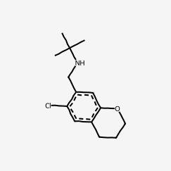 CC(C)(C)NCc1cc2c(cc1Cl)CCCO2